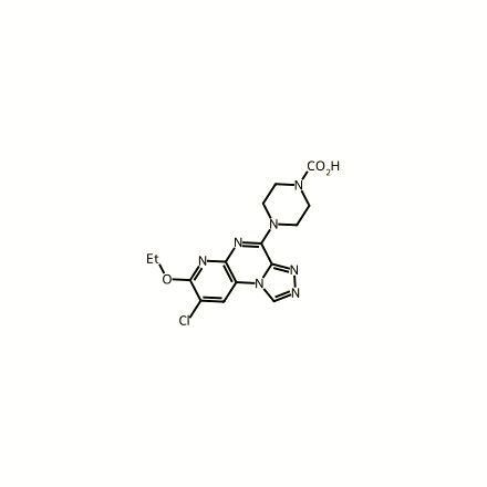 CCOc1nc2nc(N3CCN(C(=O)O)CC3)c3nncn3c2cc1Cl